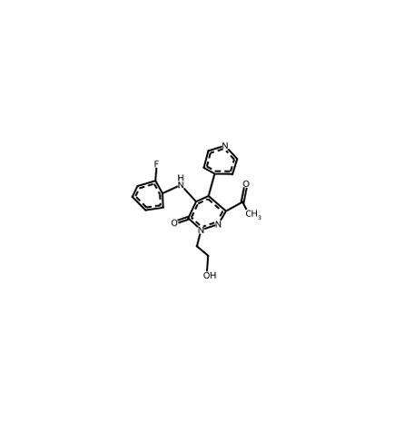 CC(=O)c1nn(CCO)c(=O)c(Nc2ccccc2F)c1-c1ccncc1